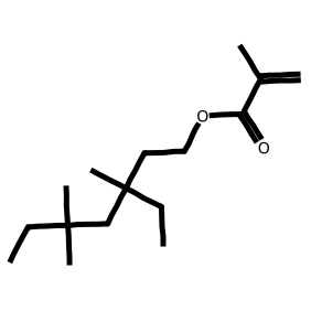 C=C(C)C(=O)OCCC(C)(CC)CC(C)(C)CC